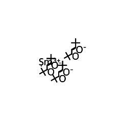 CC(C)(C)C(=O)/C=C(\[O-])C(C)(C)C.CC(C)(C)C(=O)/C=C(\[O-])C(C)(C)C.CC(C)(C)C(=O)/C=C(\[O-])C(C)(C)C.[Sm+3]